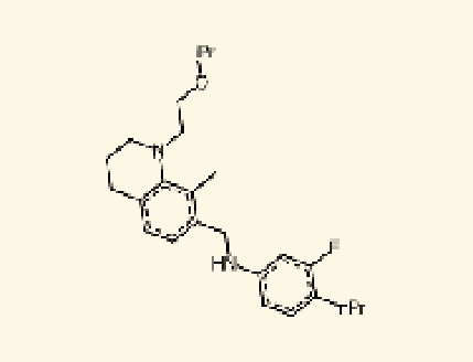 CCCc1ccc(NCc2ccc3c(c2C)N(CCOC(C)C)CCC3)cc1F